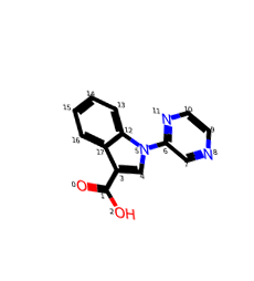 O=C(O)c1cn(-c2cnccn2)c2ccccc12